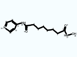 O=C(CCCCCCC(=O)Nc1ccncc1)NO